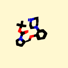 CC(C)(C)OC(=O)N1CCC[C@H]1COc1ccccc1N1CCNCC1